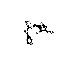 CCc1c(C(=O)O)noc1COC(=O)NC1C2CNCC21.N